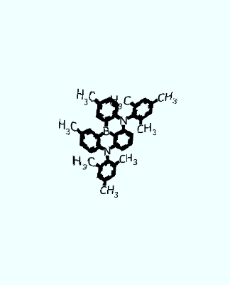 Cc1cc(C)c(N2c3ccc(C)cc3B3c4cc(C)ccc4N(c4c(C)cc(C)cc4C)c4cccc2c43)c(C)c1